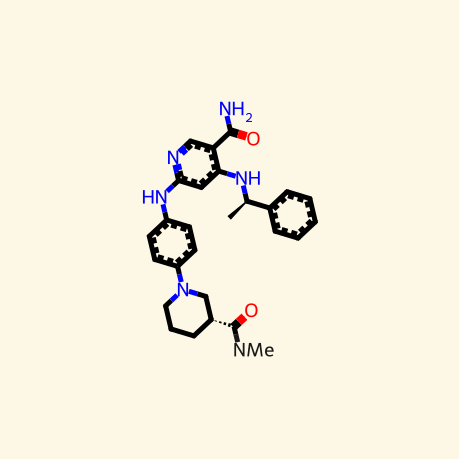 CNC(=O)[C@@H]1CCCN(c2ccc(Nc3cc(N[C@H](C)c4ccccc4)c(C(N)=O)cn3)cc2)C1